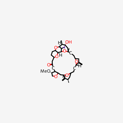 C=C1CC2CC[C@@]3(C)C[C@@H](O)C(C)[C@@H]4OC5CCC(CC(=O)CC6C(C[C@H]7OC(CC[C@@H]1O2)C[C@@H](C)C7=C)OC[C@@H]6OC)O[C@@H]5C(O3)C4I